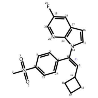 CS(=O)(=O)c1ccc(/C(=C\C2CCC2)n2ccc3cc(F)cnc32)cc1